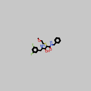 COCCSC(C(=O)NCc1ccccc1)C(O)C(N)Cc1cc(F)cc(F)c1